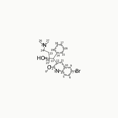 COc1nc2ccc(Br)cc2cc1C(c1ccccc1)C(C)(O)CCN(C)C